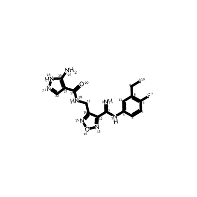 N=C(Nc1ccc(F)c(CI)c1)c1nonc1CNC(=O)c1cn[nH]c1N